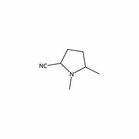 CC1CCC(C#N)N1C